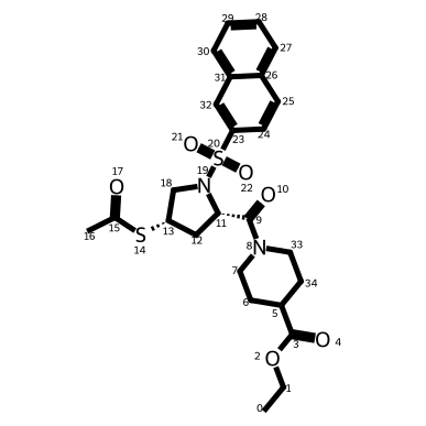 CCOC(=O)C1CCN(C(=O)[C@@H]2C[C@H](SC(C)=O)CN2S(=O)(=O)c2ccc3ccccc3c2)CC1